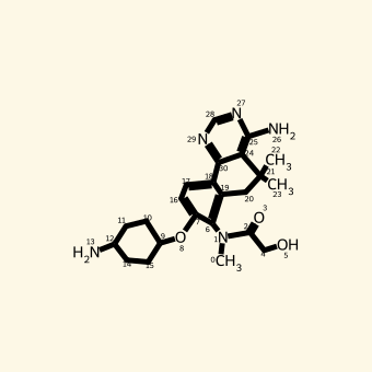 CN(C(=O)CO)c1c(OC2CCC(N)CC2)ccc2c1CC(C)(C)c1c(N)ncnc1-2